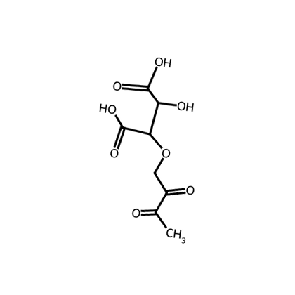 CC(=O)C(=O)COC(C(=O)O)C(O)C(=O)O